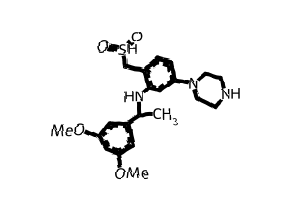 COc1cc(OC)cc(C(C)Nc2cc(N3CCNCC3)ccc2C[SH](=O)=O)c1